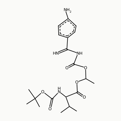 CC(OC(=O)NC(=N)c1ccc(N)cc1)OC(=O)C(NC(=O)OC(C)(C)C)C(C)C